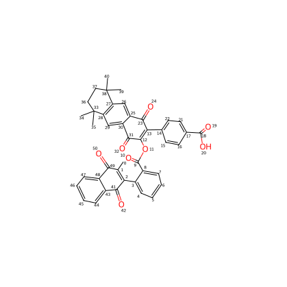 CC1=C(c2ccccc2C(=O)OC2=C(c3ccc(C(=O)O)cc3)C(=O)c3cc4c(cc3C2=O)C(C)(C)CCC4(C)C)C(=O)c2ccccc2C1=O